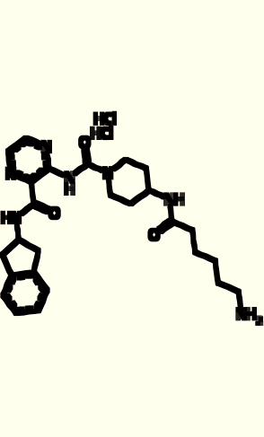 Cl.Cl.NCCCCCC(=O)NC1CCN(C(=O)Nc2nccnc2C(=O)NC2Cc3ccccc3C2)CC1